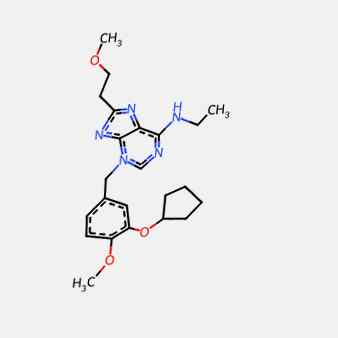 CCNc1ncn(Cc2ccc(OC)c(OC3CCCC3)c2)c2nc(CCOC)nc1-2